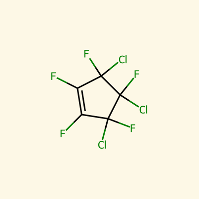 FC1=C(F)C(F)(Cl)C(F)(Cl)C1(F)Cl